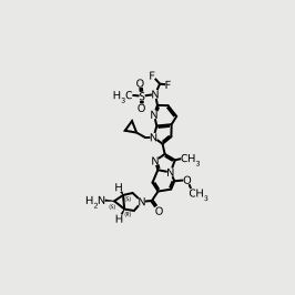 COc1cc(C(=O)N2C[C@@H]3[C@@H](N)[C@@H]3C2)cc2nc(-c3cc4ccc(N(C(F)F)S(C)(=O)=O)nc4n3CC3CC3)c(C)n12